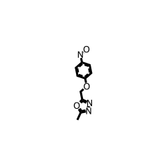 Cc1nnc(COc2ccc(N=O)cc2)o1